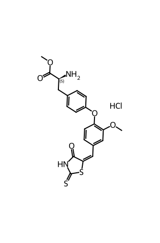 COC(=O)[C@@H](N)Cc1ccc(Oc2ccc(C=C3SC(=S)NC3=O)cc2OC)cc1.Cl